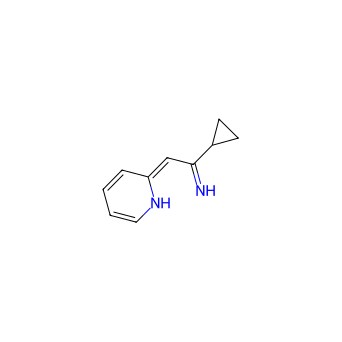 N=C(/C=C1/C=CC=CN1)C1CC1